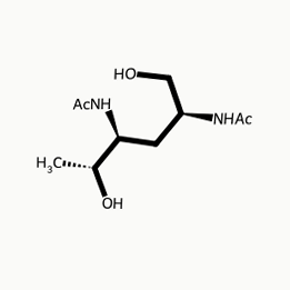 CC(=O)N[C@H](CO)C[C@H](NC(C)=O)[C@@H](C)O